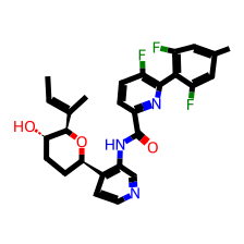 C/C=C(\C)[C@H]1O[C@@H](c2ccncc2NC(=O)c2ccc(F)c(-c3c(F)cc(C)cc3F)n2)CC[C@@H]1O